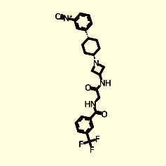 [C-]#[N+]c1cccc([C@H]2CC[C@@H](N3CC(NC(=O)CNC(=O)c4cccc(C(F)(F)F)c4)C3)CC2)c1